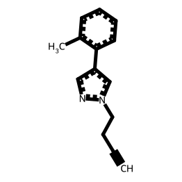 C#CCCn1cc(-c2ccccc2C)cn1